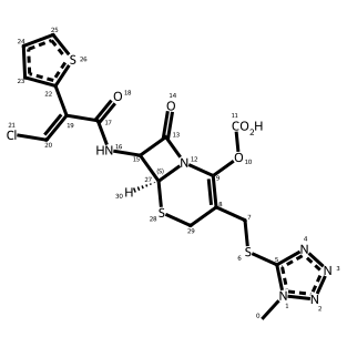 Cn1nnnc1SCC1=C(OC(=O)O)N2C(=O)C(NC(=O)C(=CCl)c3cccs3)[C@@H]2SC1